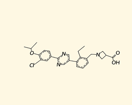 CCc1c(CN2CC(C(=O)O)C2)cccc1-c1cnc(-c2ccc(OC(C)C)c(Cl)c2)nc1